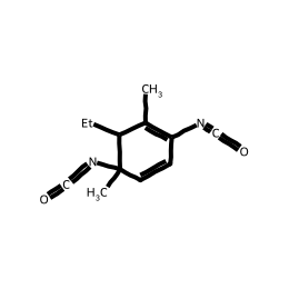 CCC1C(C)=C(N=C=O)C=CC1(C)N=C=O